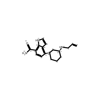 C=CCN[C@H]1CCC[C@@H](c2ccc(C(N)=O)c3[nH]ccc23)C1